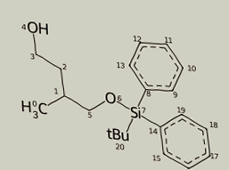 CC(CCO)CO[Si](c1ccccc1)(c1ccccc1)C(C)(C)C